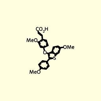 COc1ccc(-c2sc3cc(OC)ccc3c2Oc2ccc(/C=C/C(=O)O)c(OC)c2)cc1